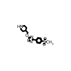 CS(=O)(=O)c1ccc(-c2noc(OCC3CCNCC3)n2)cc1